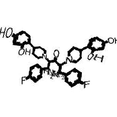 NC(c1ccc(F)cc1)C(C(=O)C(C(N)c1ccc(F)cc1)N1CCC(c2ccc(O)cc2O)CC1)N1CCC(c2ccc(O)cc2O)CC1